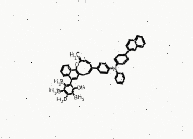 Bc1c(B)c(B)c(-c2cc3c(c4ccccc24)OC(=C)/C=C\C(c2ccc(N(c4ccccc4)c4ccc(-c5ccc6ccccc6c5)cc4)cc2)=C/C3)c(O)c1B